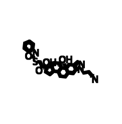 CC12Cc3cnn(CCC#N)c3C=C1CCC1C2[C@@H](O)CC2(C)C1CC[C@]2(O)C(=O)CSc1nc2ccccc2o1